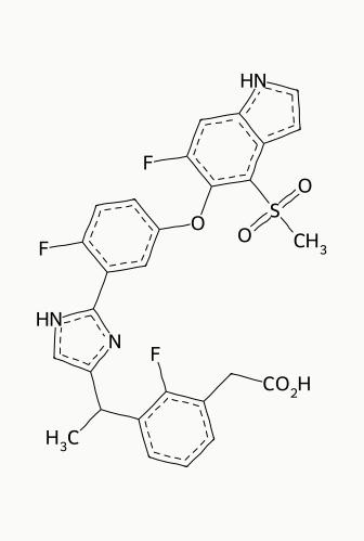 CC(c1c[nH]c(-c2cc(Oc3c(F)cc4[nH]ccc4c3S(C)(=O)=O)ccc2F)n1)c1cccc(CC(=O)O)c1F